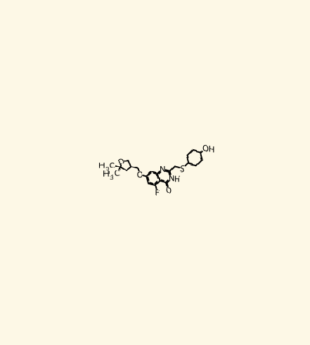 CC1(C)CC(COc2cc(F)c3c(=O)[nH]c(CSC4CCC(O)CC4)nc3c2)CO1